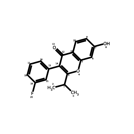 CC(C)c1oc2cc(O)ccc2c(=O)c1-c1cccc(F)c1